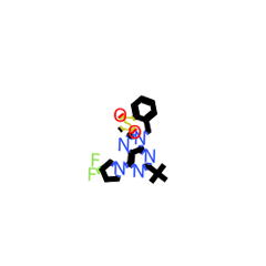 CC(C)(C)c1nc(N2CCC(F)(F)C2)c2ncn(Cc3ccccc3S(C)(=O)=O)c2n1